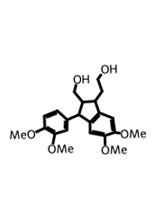 COc1ccc(C2c3cc(OC)c(OC)cc3C(CCO)C2CO)cc1OC